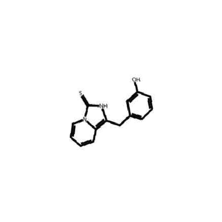 Oc1cccc(Cc2[nH]c(=S)n3ccccc23)c1